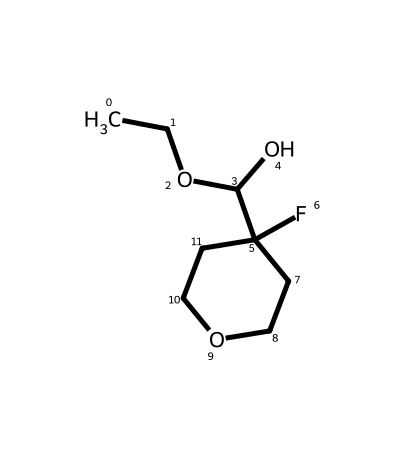 CCOC(O)C1(F)CCOCC1